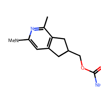 CNc1cc2c(c(C)n1)CC(COC(N)=O)C2